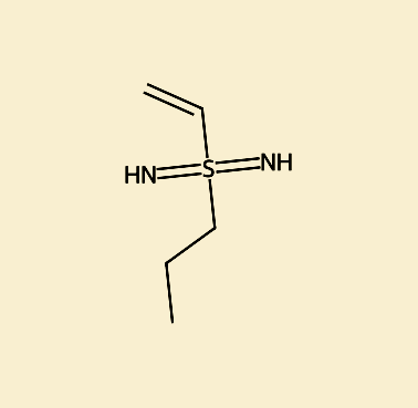 C=CS(=N)(=N)CCC